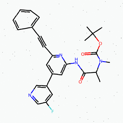 CC(C(=O)Nc1cc(-c2cncc(F)c2)cc(C#Cc2ccccc2)n1)N(C)C(=O)OC(C)(C)C